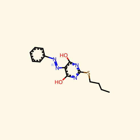 CCCCSc1nc(O)c(/N=N/c2ccccc2)c(O)n1